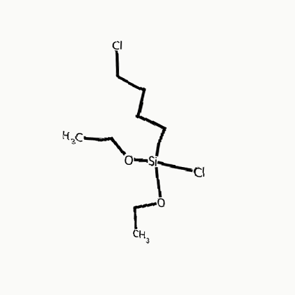 CCO[Si](Cl)(CCCCCl)OCC